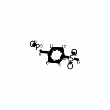 CS(=O)(=O)c1ccc(CP=O)cc1